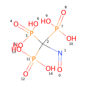 O=NC(P(=O)(O)O)(P(=O)(O)O)P(=O)(O)O